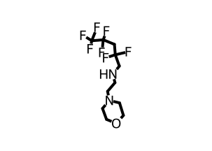 FC(F)(CNCCN1CCOCC1)CC(F)(F)C(F)(F)F